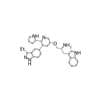 CCc1n[nH]c2ccc(-c3cc(OC[C@@H](N)Cc4c[nH]c5ccccc45)cnc3-c3ccc[nH]3)cc12